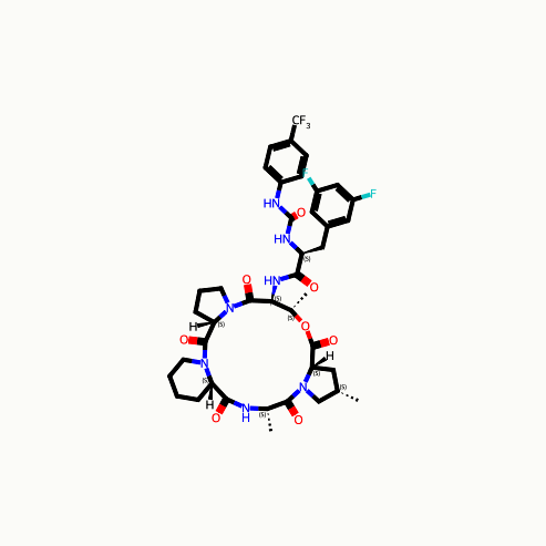 C[C@H]1C[C@H]2C(=O)O[C@@H](C)[C@H](NC(=O)[C@H](Cc3cc(F)cc(F)c3)NC(=O)Nc3ccc(C(F)(F)F)cc3)C(=O)N3CCC[C@H]3C(=O)N3CCCC[C@H]3C(=O)N[C@@H](C)C(=O)N2C1